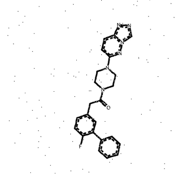 O=C(Cc1ccc(F)c(-c2ccccc2)c1)N1CCN(c2ccc3nncn3n2)CC1